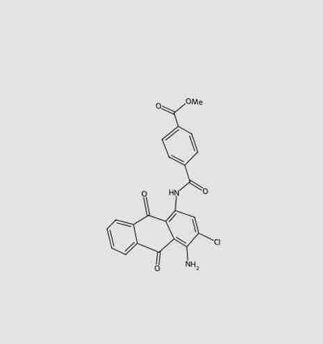 COC(=O)c1ccc(C(=O)Nc2cc(Cl)c(N)c3c2C(=O)c2ccccc2C3=O)cc1